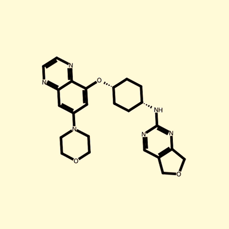 c1cnc2c(O[C@H]3CC[C@@H](Nc4ncc5c(n4)COC5)CC3)cc(N3CCOCC3)cc2n1